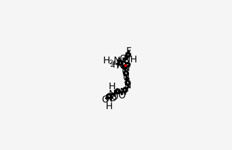 [2H]c1nc(-c2cnn(C3CCN(C4CC5(CCN(CC6CCN(C(=O)c7cccc(C(=O)NC8CCC(=O)NC8=O)c7)CC6)CC5)C4)CC3)c2)c([C@H](C(=O)Nc2ccc(F)cc2)c2ccccc2)nc1N